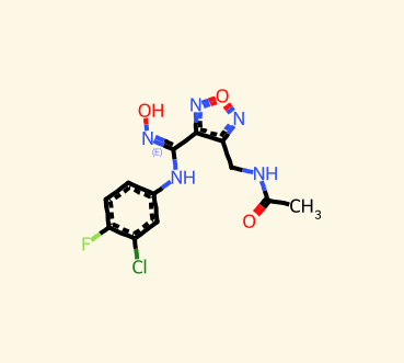 CC(=O)NCc1nonc1/C(=N\O)Nc1ccc(F)c(Cl)c1